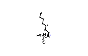 CCCCCC/C=C\[PH](=O)O